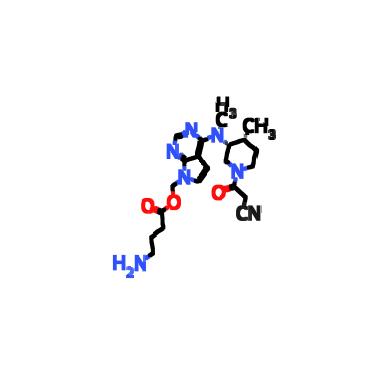 C[C@@H]1CCN(C(=O)CC#N)C[C@@H]1N(C)c1ncnc2c1ccn2COC(=O)CCCN